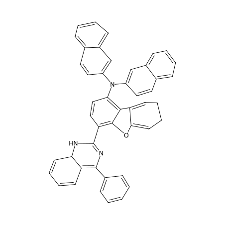 C1=CC2=C(c3ccccc3)N=C(c3ccc(N(c4ccc5ccccc5c4)c4ccc5ccccc5c4)c4c5c(oc34)=CCCC=5)NC2C=C1